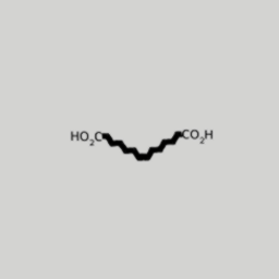 O=C(O)CCCCC/C=C\CCCCCC(=O)O